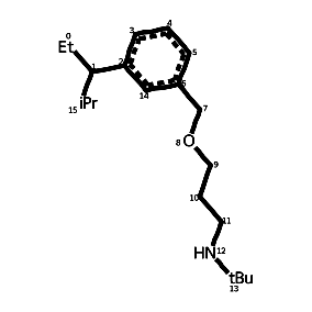 CCC(c1cccc(COCCCNC(C)(C)C)c1)C(C)C